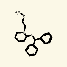 [SiH3]OCCN1CCCCC1OC(c1ccccc1)c1ccccc1